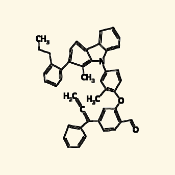 C=C=C(c1ccccc1)c1ccc(C=O)c(Oc2ccc(-n3c4ccccc4c4ccc(-c5ccccc5CCC)c(C)c43)cc2C)c1